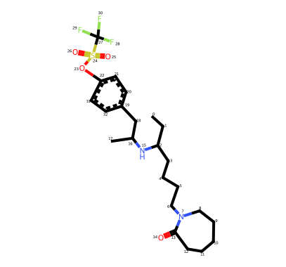 CCC(CCCCN1CCCCCC1=O)NC(C)Cc1ccc(OS(=O)(=O)C(F)(F)F)cc1